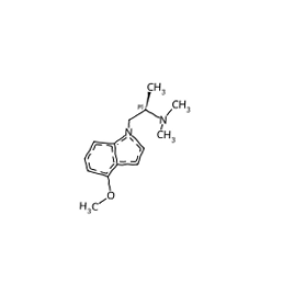 COc1cccc2c1ccn2C[C@@H](C)N(C)C